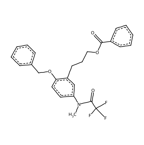 CN(C(=O)C(F)(F)F)c1ccc(OCc2ccccc2)c(CCCOC(=O)c2ccccc2)c1